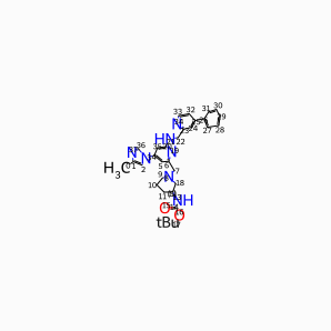 Cc1cn(-c2cc(CN3CCC[C@H](NC(=O)OC(C)(C)C)C3)nc(NCc3cc(-c4ccccc4)ccn3)c2)cn1